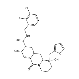 O=C1C=C2C(=O)N3CCC[N+](O)(Cc4ccco4)C3CN2CC1C(=O)NCc1cccc(Cl)c1F